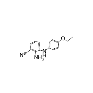 CCOc1ccc(Nc2cccc(C#N)c2N)cc1